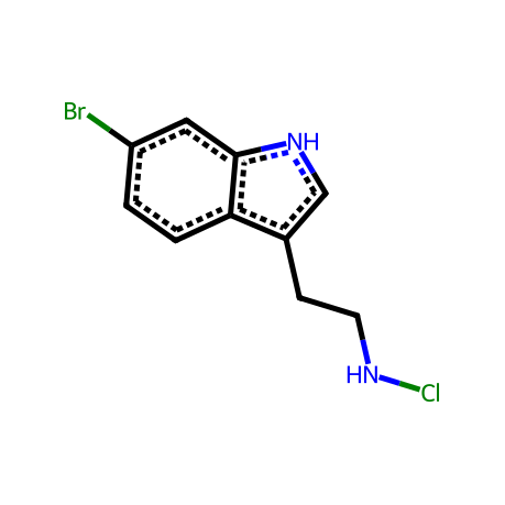 ClNCCc1c[nH]c2cc(Br)ccc12